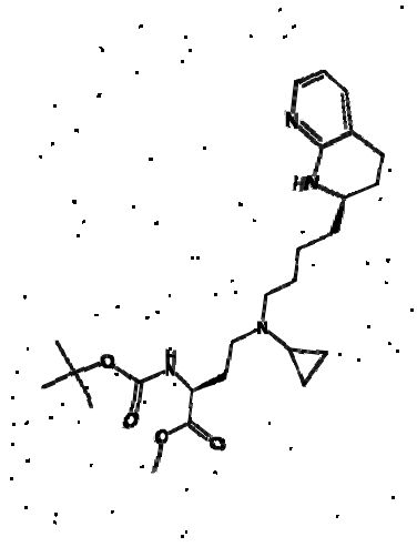 COC(=O)[C@H](CCN(CCCC[C@@H]1CCc2cccnc2N1)C1CC1)NC(=O)OC(C)(C)C